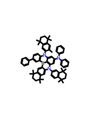 Cc1cc2c(cc1N1c3ccc(-c4ccccc4)cc3B3c4cc5c(cc4N(c4ccc6c(c4)C(C)(C)CCC6(C)C)c4cc(N(c6ccccc6)c6ccccc6)cc1c43)C(C)(C)CCC5(C)C)C(C)(C)CCC2(C)C